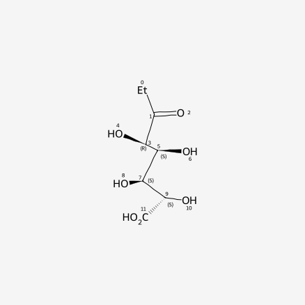 CCC(=O)[C@H](O)[C@@H](O)[C@H](O)[C@H](O)C(=O)O